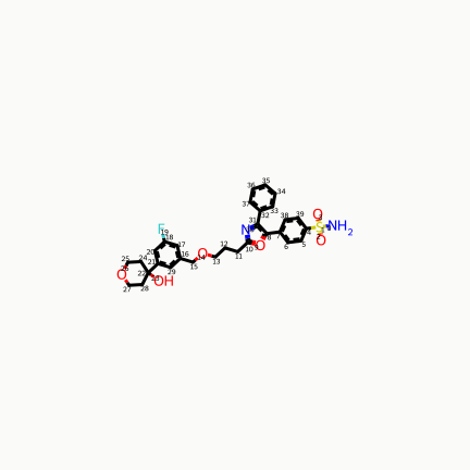 NS(=O)(=O)c1ccc(-c2oc(CCCOCc3cc(F)cc(C4(O)CCOCC4)c3)nc2-c2ccccc2)cc1